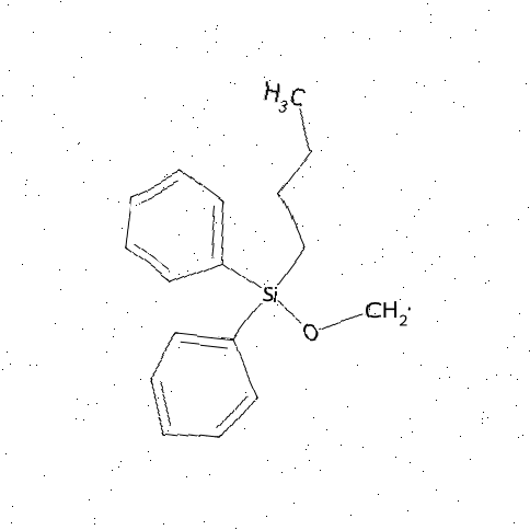 [CH2]O[Si](CCCC)(c1ccccc1)c1ccccc1